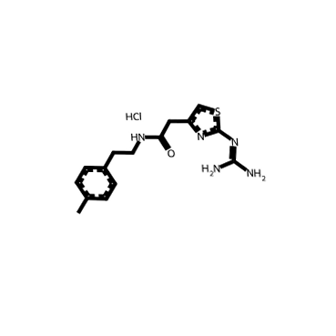 Cc1ccc(CCNC(=O)Cc2csc(N=C(N)N)n2)cc1.Cl